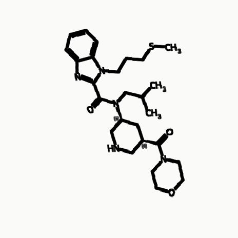 CSCCCn1c(C(=O)N(CC(C)C)[C@@H]2CNC[C@H](C(=O)N3CCOCC3)C2)nc2ccccc21